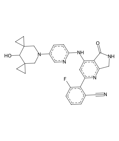 N#Cc1cccc(F)c1-c1cc(Nc2ccc(N3CC4(CC4)C(O)C4(CC4)C3)cn2)c2c(n1)CNC2=O